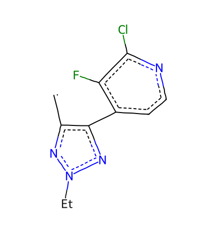 [CH2]c1nn(CC)nc1-c1ccnc(Cl)c1F